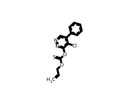 C=CCOC(=S)Oc1nncc(-c2ccccc2)c1Cl